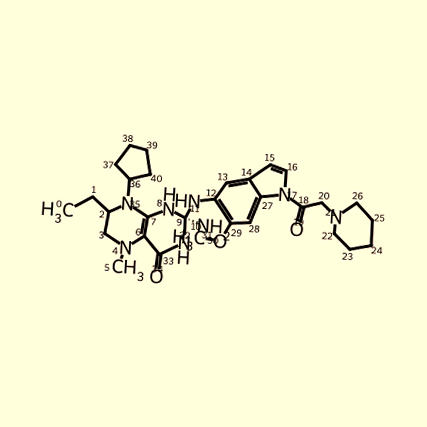 CCC1CN(C)C2=C(N[C@@](N)(Nc3cc4ccn(C(=O)CN5CCCCC5)c4cc3OC)NC2=O)N1C1CCCC1